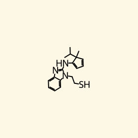 CC(C)C1(C)C=CC=C1Nc1nc2ccccc2n1CCS